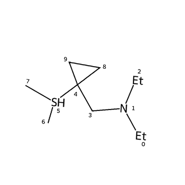 CCN(CC)CC1([SH](C)C)CC1